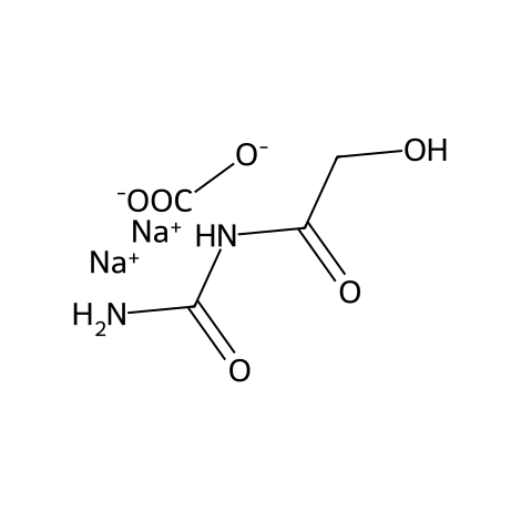 NC(=O)NC(=O)CO.O=C([O-])[O-].[Na+].[Na+]